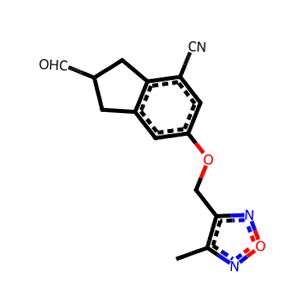 Cc1nonc1COc1cc(C#N)c2c(c1)CC(C=O)C2